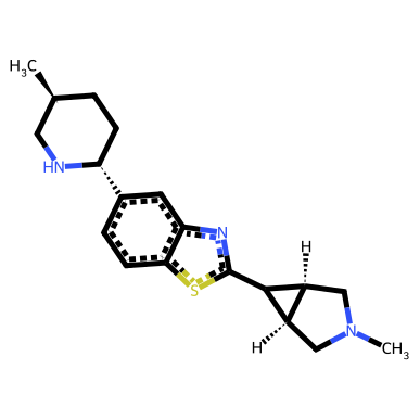 C[C@H]1CC[C@H](c2ccc3sc(C4[C@H]5CN(C)C[C@@H]45)nc3c2)NC1